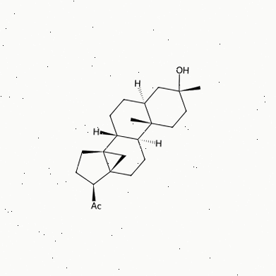 CC(=O)[C@H]1CC[C@@]23C[C@@]12CC[C@H]1[C@H]3CC[C@H]2C[C@](C)(O)CC[C@@]21C